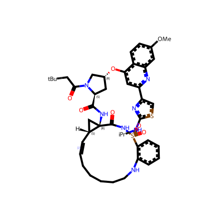 COc1ccc2c(O[C@@H]3C[C@@H](C(=O)N[C@]45C[C@H]4/C=C\CCCCCNc4ccccc4S(=O)(=O)NC5=O)N(C(=O)CC(C)(C)C)C3)cc(-c3csc(NC(C)C)n3)nc2c1